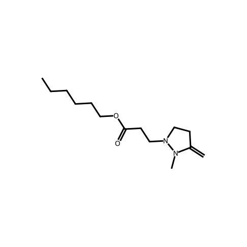 C=C1CCN(CCC(=O)OCCCCCC)N1C